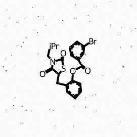 CC(C)CN1C(=O)SC(Cc2ccccc2OC(=O)c2cccc(Br)c2)C1=O